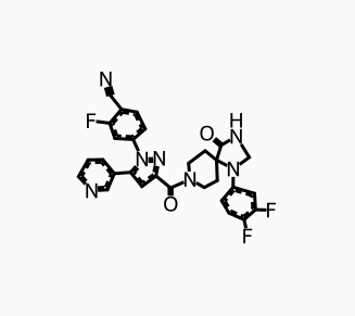 N#Cc1ccc(-n2nc(C(=O)N3CCC4(CC3)C(=O)NCN4c3ccc(F)c(F)c3)cc2-c2cccnc2)cc1F